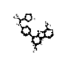 Cc1nccc2c1[nH]c1c(-c3ccc(OC(C)C4CCNC4)cc3)cc(Cl)cc12